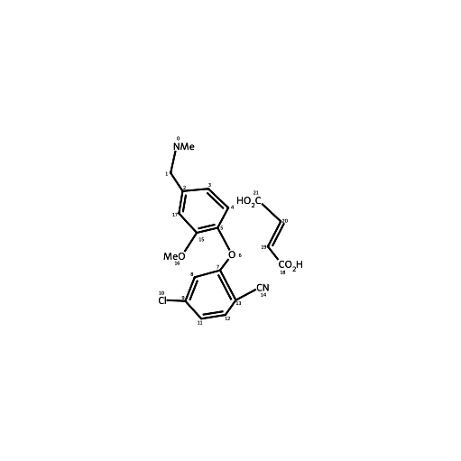 CNCc1ccc(Oc2cc(Cl)ccc2C#N)c(OC)c1.O=C(O)C=CC(=O)O